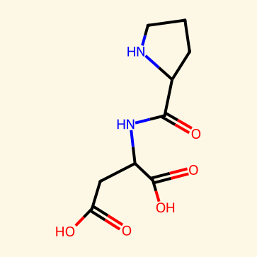 O=C(O)CC(NC(=O)C1CCCN1)C(=O)O